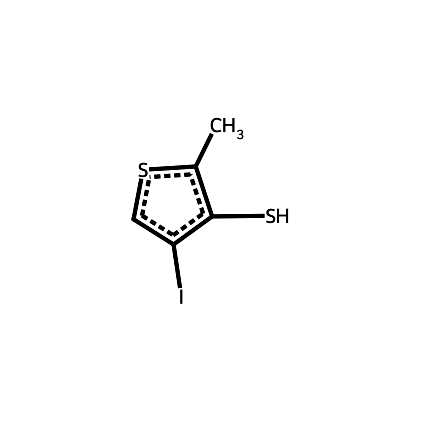 Cc1scc(I)c1S